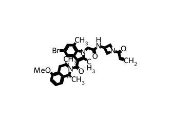 C=CC(=O)N1CC(NC(=O)Cn2c(C)c(C(=O)N3[C@@H](C)Cc4c(OC)cccc4[C@@H]3C)c3cc(Br)cc(C)c32)C1